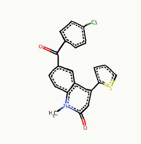 Cn1c(=O)cc(-c2cccs2)c2cc(C(=O)c3ccc(Cl)cc3)ccc21